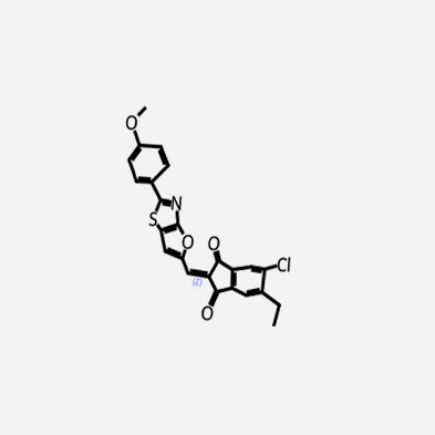 CCc1cc2c(cc1Cl)C(=O)/C(=C\c1cc3sc(-c4ccc(OC)cc4)nc3o1)C2=O